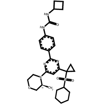 C[C@H]1COCCN1c1cc(C2(S(=O)(=O)C3CCCCC3)CC2)nc(-c2ccc(NC(=O)NC3CCC3)cc2)n1